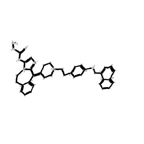 COC(=O)Oc1cnc2n1CCc1ccccc1C2=C1CCN(CCc2ccc(OCc3cccc4ccccc34)cc2)CC1